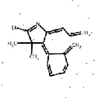 C=C/C=C1/N=C(CC)C(C)(C)/C1=c1\ccccc1=C